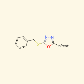 CCCCCc1nnc(SCc2ccccc2)o1